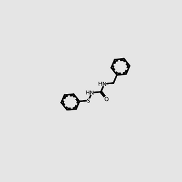 O=C(NCc1ccccc1)NSc1ccccc1